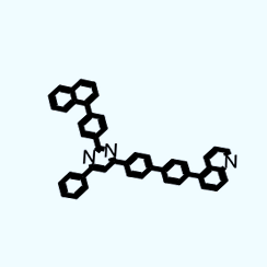 c1ccc(-c2cc(-c3ccc(-c4ccc(-c5cccc6ncccc56)cc4)cc3)nc(-c3ccc(-c4cccc5ccccc45)cc3)n2)cc1